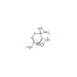 NC1=CCC(N)(C(F)(F)F)C=C1.O=S(=O)(O)O